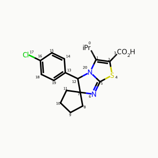 CC(C)C1=C(C(=O)O)SC2=NC3(CCCC3)C(c3ccc(Cl)cc3)N21